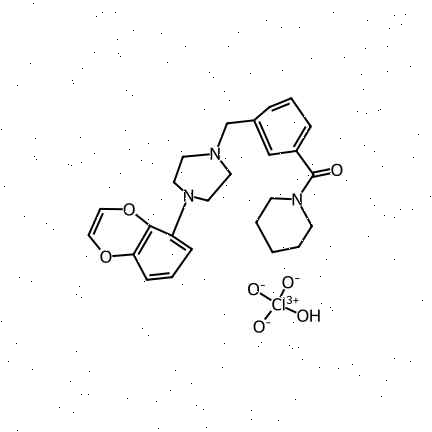 O=C(c1cccc(CN2CCN(c3cccc4c3OC=CO4)CC2)c1)N1CCCCC1.[O-][Cl+3]([O-])([O-])O